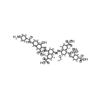 CCOc1cc(N=Nc2ccc(S(=O)(=O)O)cc2S(=O)(=O)O)c2cc(S(=O)(=O)O)ccc2c1N=Nc1ccc(N=Nc2c(S(=O)(=O)O)cc3cc(NC(=O)c4ccc(N)cc4)ccc3c2O)c2cc(S(=O)(=O)O)ccc12